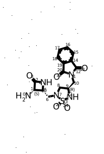 N[C@@H]1C(=O)N[C@@H]1CN1C[C@@H](CN2C(=O)c3ccccc3C2=O)NS1(=O)=O